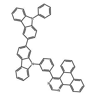 c1ccc(-n2c3ccccc3c3cc(-c4ccc5c6ccccc6n(-c6cccc(-c7ncnc8c9ccccc9c9ccccc9c78)c6)c5c4)ccc32)cc1